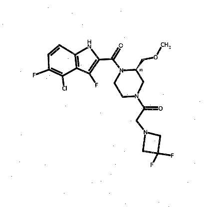 COC[C@H]1CN(C(=O)CN2CC(F)(F)C2)CCN1C(=O)c1[nH]c2ccc(F)c(Cl)c2c1F